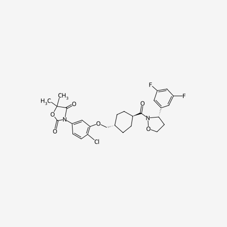 CC1(C)OC(=O)N(c2ccc(Cl)c(OC[C@H]3CC[C@H](C(=O)N4OCC[C@H]4c4cc(F)cc(F)c4)CC3)c2)C1=O